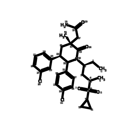 CC[C@@H](CN(C)S(=O)(=O)C1CC1)N1C(=O)[C@@](C)(CC(N)=O)C[C@H](c2cccc(Cl)c2)C1c1ccc(Cl)cc1